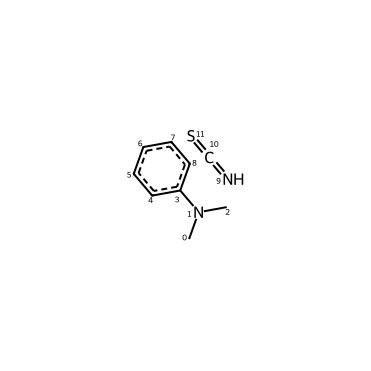 CN(C)c1ccccc1.N=C=S